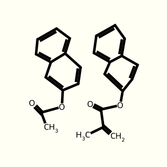 C=C(C)C(=O)Oc1ccc2ccccc2c1.CC(=O)Oc1ccc2ccccc2c1